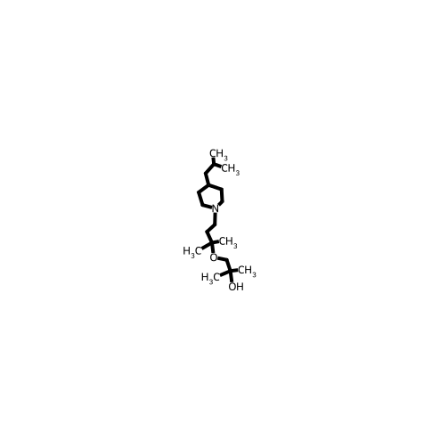 CC(C)CC1CCN(CCC(C)(C)OCC(C)(C)O)CC1